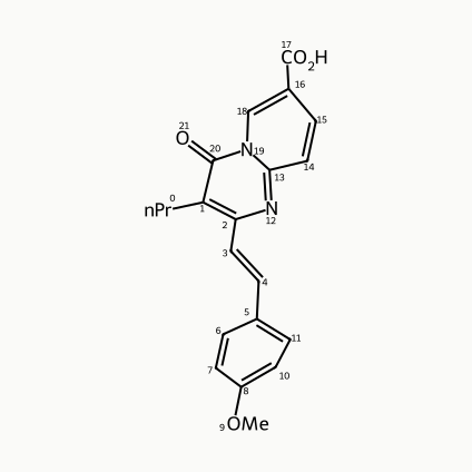 CCCc1c(C=Cc2ccc(OC)cc2)nc2ccc(C(=O)O)cn2c1=O